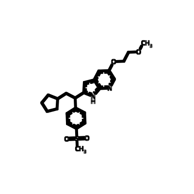 COCCOc1cnc2[nH]c(C(CC3CCCC3)c3ccc(S(C)(=O)=O)cc3)cc2c1